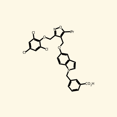 CC(C)c1onc(COc2c(Cl)cc(Cl)cc2Cl)c1COc1ccc2c(ccn2Cc2cccc(C(=O)O)c2)c1